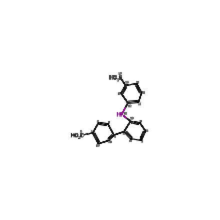 O=C(O)c1ccc(-c2ccccc2Pc2cccc(S(=O)(=O)O)c2)cc1